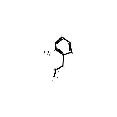 CCCPCc1ccccc1.O